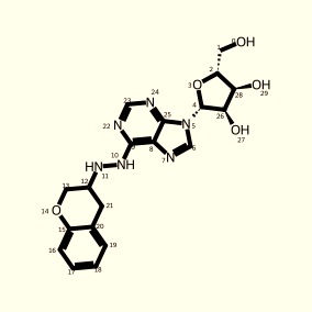 OC[C@H]1O[C@@H](n2cnc3c(NNC4COc5ccccc5C4)ncnc32)[C@H](O)[C@@H]1O